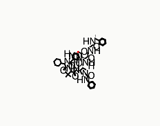 CCC[C@H](NC(=O)[C@@H]1CN(C(=O)Nc2ccccc2)C[C@@H]1NC(=O)[C@@H](NC(=O)[C@@H](NC(=O)c1cnccn1)C1CCCCC1)C(C)(C)C)C(O)C(=O)NCC(=O)N[C@H](C)c1ccccc1